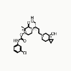 C[C@H]1C(=O)N([C@H](CO)CCN2CCC3(CC3)[C@H](O)C2)CCN1OC(=O)Nc1cccc(Cl)c1